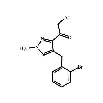 CC(=O)CC(=O)c1nn(C)cc1Cc1ccccc1Br